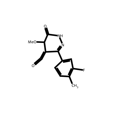 COC1C(=O)NN=C(c2ccc(C)c(F)c2)C1=C=O